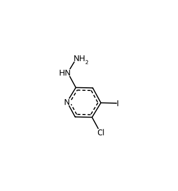 NNc1cc(I)c(Cl)cn1